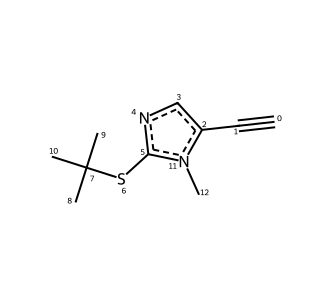 C#Cc1cnc(SC(C)(C)C)n1C